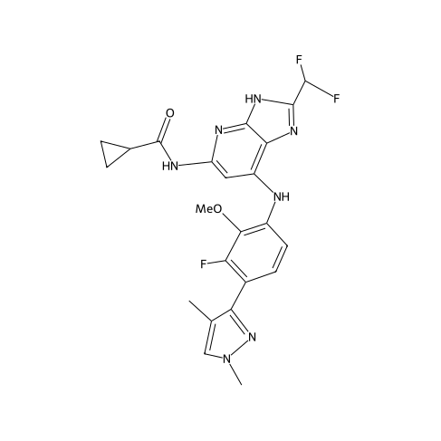 COc1c(Nc2cc(NC(=O)C3CC3)nc3[nH]c(C(F)F)nc23)ccc(-c2nn(C)cc2C)c1F